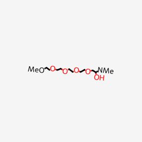 CNC(O)COCCOCCOCCOCCOC